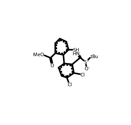 COC(=O)c1cccc(S)c1-c1ccc(Cl)c(Cl)c1C(=N)[S+]([O-])C(C)(C)C